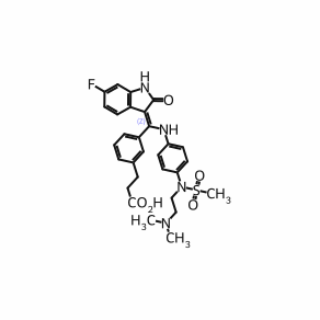 CN(C)CCN(c1ccc(N/C(=C2\C(=O)Nc3cc(F)ccc32)c2cccc(CCC(=O)O)c2)cc1)S(C)(=O)=O